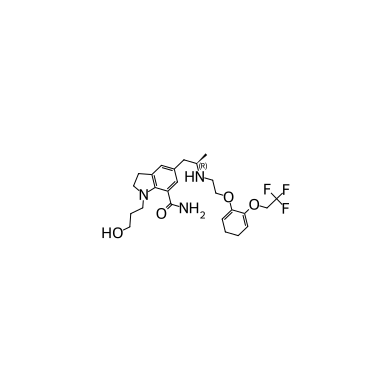 C[C@H](Cc1cc2c(c(C(N)=O)c1)N(CCCO)CC2)NCCOC1=CCCC=C1OCC(F)(F)F